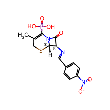 CC1=C(P(=O)(O)O)N2C(=O)[C@@H](N=Cc3ccc([N+](=O)[O-])cc3)[C@@H]2SC1